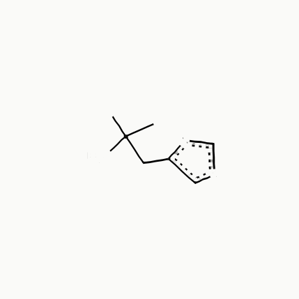 CC(C)(Cc1cscn1)C(=O)O